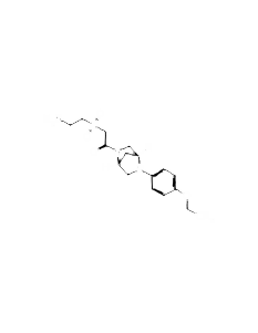 CCOc1ccc(N2C[C@@H]3C[C@H]2CN3C(=O)CS(=O)(=O)CCN)cc1